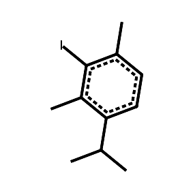 Cc1ccc(C(C)C)c(C)c1I